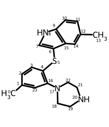 Cc1ccc(Sc2c[nH]c3ccc(C)cc23)c(N2CCNCC2)c1